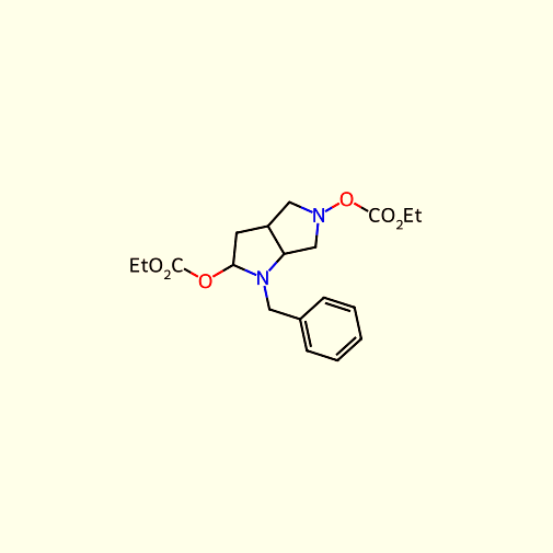 CCOC(=O)OC1CC2CN(OC(=O)OCC)CC2N1Cc1ccccc1